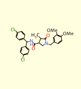 COc1ccc(CN2CC(C(=O)NC(c3ccc(Cl)cc3)c3ccc(Cl)cc3)C(C)C2=O)cc1OC